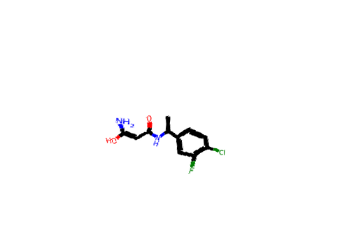 C=C(NC(=O)/C=C(\N)O)c1ccc(Cl)c(F)c1